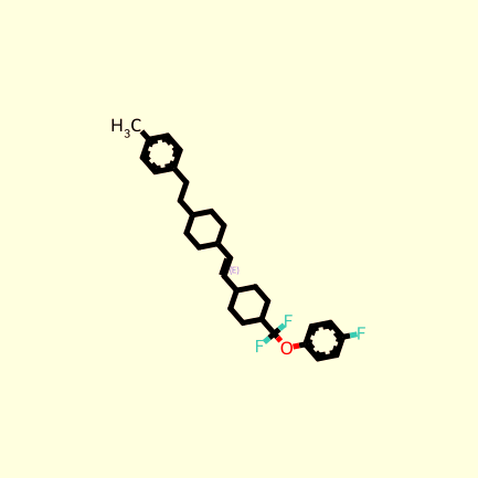 Cc1ccc(CCC2CCC(/C=C/C3CCC(C(F)(F)Oc4ccc(F)cc4)CC3)CC2)cc1